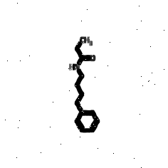 CCC(=O)NCCCCc1ccccc1